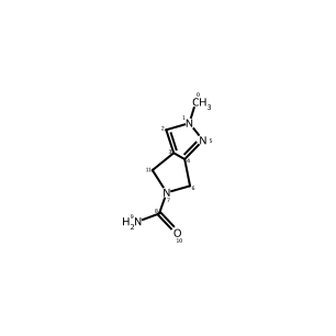 Cn1cc2c(n1)CN(C(N)=O)C2